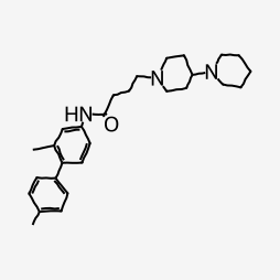 Cc1ccc(-c2ccc(NC(=O)CCCN3CCC(N4CCCCC4)CC3)cc2C)cc1